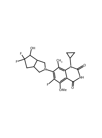 COc1c(F)c(N2CC3CC(F)(F)C(O)C3C2)c(C)c2c1c(=O)[nH]c(=O)n2C1CC1